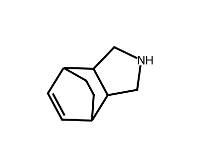 C1=CC2CCC1C1CNCC21